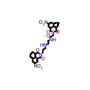 O=C(CN1C(=O)c2cccc3cc([N+](=O)[O-])cc(c23)C1=O)NCCNCCCN1C(=O)c2cccc3cc([N+](=O)[O-])cc(c23)C1=O